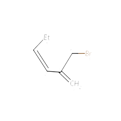 C=C(/C=C\CC)CBr